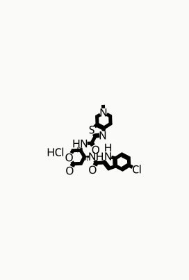 CN1CCc2nc(C(=O)N[C@H]3COC(=O)C[C@@H]3NC(=O)c3cc4cc(Cl)ccc4[nH]3)sc2C1.Cl